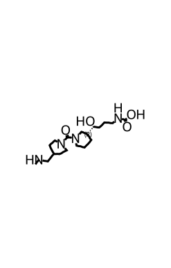 CNCC1CCN(C(=O)N2CCC[C@@H](C(O)CCCNC(=O)O)C2)CC1